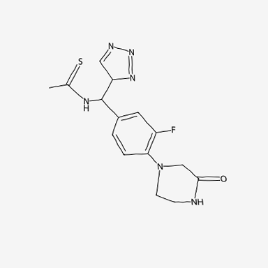 CC(=S)NC(c1ccc(N2CCNC(=O)C2)c(F)c1)C1C=NN=N1